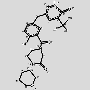 O=C(c1cc(Cc2cc(C(F)(F)F)c(=O)[nH]n2)ccc1F)N1CCN([C@H]2CCCOC2)C(=O)C1